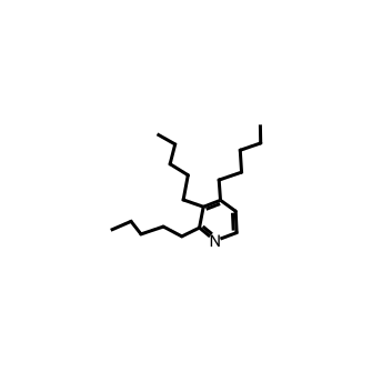 CCCCCc1ccnc(CCCCC)c1CCCCC